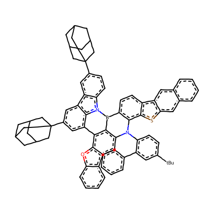 CC(C)(C)c1ccc(N2c3cc4c(oc5ccccc54)c4c3B(c3ccc5c(sc6cc7ccccc7cc65)c32)n2c3ccc(C56CC7CC(CC(C7)C5)C6)cc3c3cc(C56CC7CC(CC(C7)C5)C6)cc-4c32)c(-c2ccccc2)c1